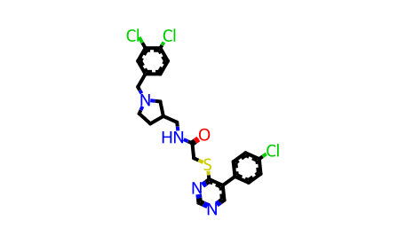 O=C(CSc1ncncc1-c1ccc(Cl)cc1)NCC1CCN(Cc2ccc(Cl)c(Cl)c2)C1